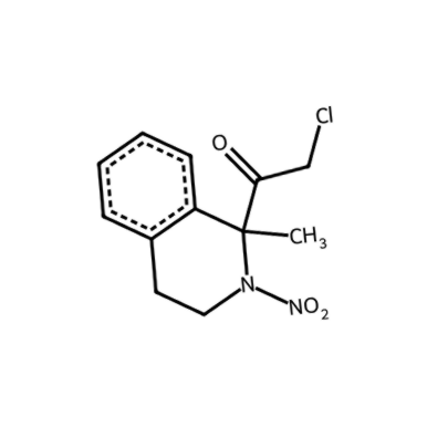 CC1(C(=O)CCl)c2ccccc2CCN1[N+](=O)[O-]